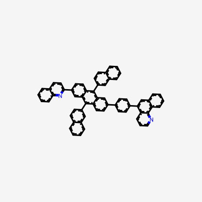 c1ccc2cc(-c3c4ccc(-c5ccc6ccccc6n5)cc4c(-c4ccc5ccccc5c4)c4ccc(-c5ccc(-c6cc7ccccc7c7ncccc67)cc5)cc34)ccc2c1